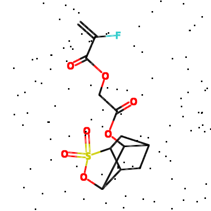 C=C(F)C(=O)OCC(=O)OC1C2CC3C1OS(=O)(=O)C3C2